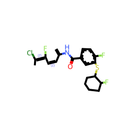 C=C(/C=C\C(F)=C(/C)Cl)NC(=O)c1ccc(F)c(SC2CCCCC2F)c1